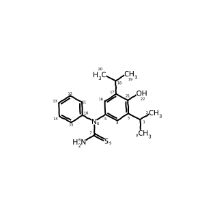 CC(C)c1cc(N(C(N)=S)c2ccccc2)cc(C(C)C)c1O